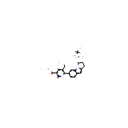 CCc1c(-c2ccc3cc4n(c3c2)C(O[Si](C)(C)C(C)(C)C)CC4)[nH]c(=O)c(C(=O)OC)c1O